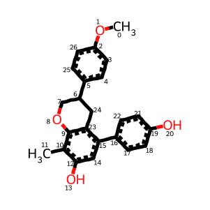 COc1ccc(C2COc3c(C)c(O)cc(-c4ccc(O)cc4)c3C2)cc1